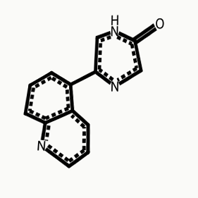 O=c1cnc(-c2cccc3ncccc23)c[nH]1